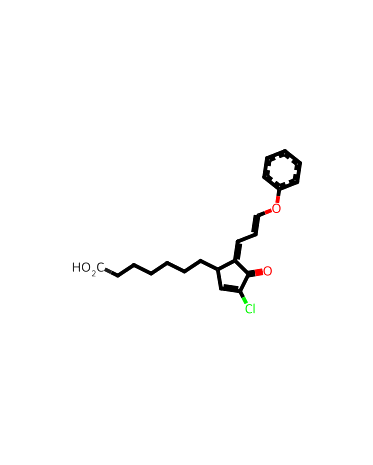 O=C(O)CCCCCCC1C=C(Cl)C(=O)C1=CC=COc1ccccc1